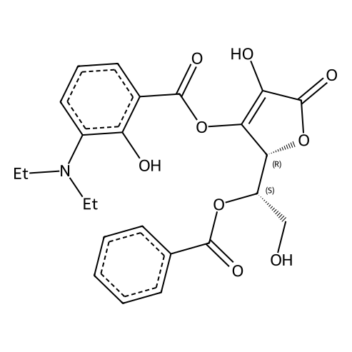 CCN(CC)c1cccc(C(=O)OC2=C(O)C(=O)O[C@@H]2[C@H](CO)OC(=O)c2ccccc2)c1O